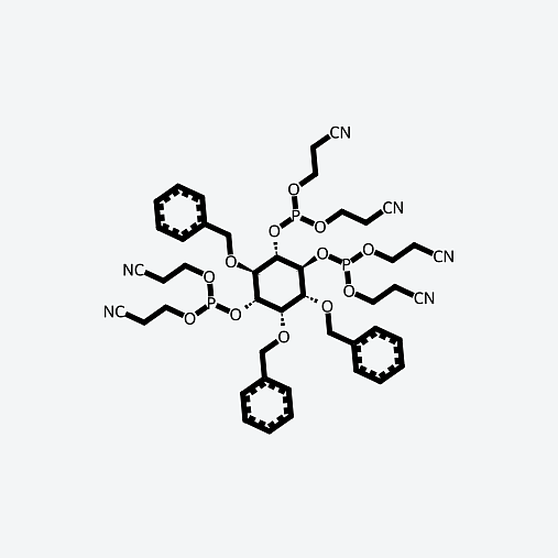 N#CCCOP(OCCC#N)O[C@@H]1[C@@H](OCc2ccccc2)[C@H](OP(OCCC#N)OCCC#N)[C@@H](OP(OCCC#N)OCCC#N)[C@H](OCc2ccccc2)[C@@H]1OCc1ccccc1